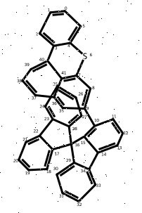 c1ccc2c(c1)Sc1cc(-c3cccc4c3C3(c5ccccc5-c5ccccc53)c3ccccc3-4)cc3cccc-2c13